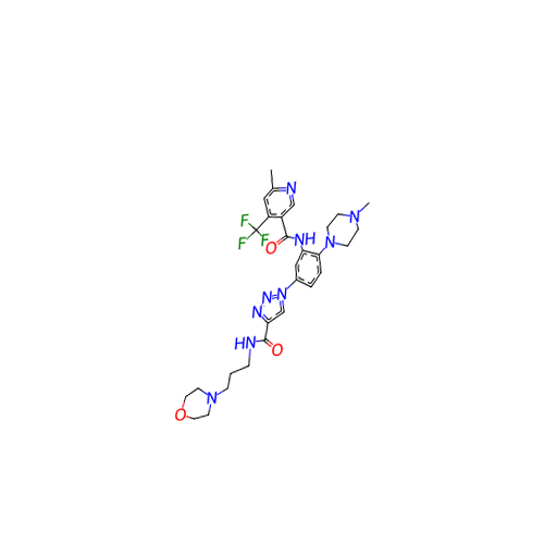 Cc1cc(C(F)(F)F)c(C(=O)Nc2cc(-n3cc(C(=O)NCCCN4CCOCC4)nn3)ccc2N2CCN(C)CC2)cn1